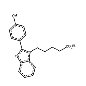 CCOC(=O)CCCCn1c(-c2ccc(O)cc2)nc2ccccc21